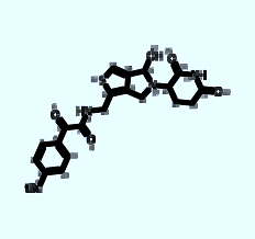 CC(C)(C)c1ccc(C(=O)C(=O)NCc2scc3c2CN(C2CCC(=O)NC2=O)C3O)cc1